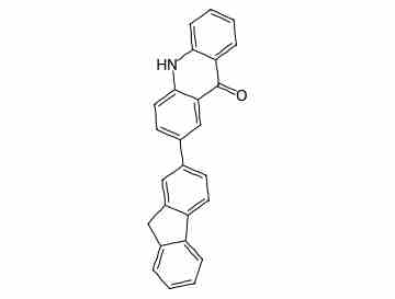 O=c1c2ccccc2[nH]c2ccc(-c3ccc4c(c3)Cc3ccccc3-4)cc12